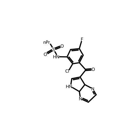 CCCS(=O)(=O)Nc1cc(F)cc(C(=O)C2=CNC3N=CC=NC23)c1Cl